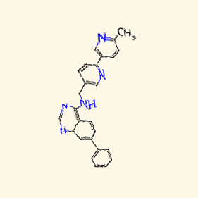 Cc1ccc(-c2ccc(CNc3ncnc4cc(-c5ccccc5)ccc34)cn2)cn1